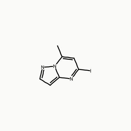 Cc1cc(I)nc2ccnn12